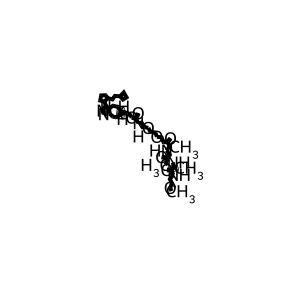 COCCNC(=O)[C@H](C)NC(C)C(=O)CNC(C)C(=O)CCOCCOCCNC(=O)OC[C@@H]1[C@@H]2CCc3nnn(C4CCCC4CCC4CCC4)c3CC[C@@H]21